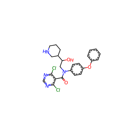 O=C(c1c(Cl)ncnc1Cl)N(CC(O)C1CCCNC1)c1ccc(Oc2ccccc2)cc1